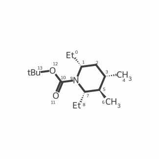 CC[C@@H]1C[C@H](C)[C@@H](C)[C@H](CC)N1C(=O)OC(C)(C)C